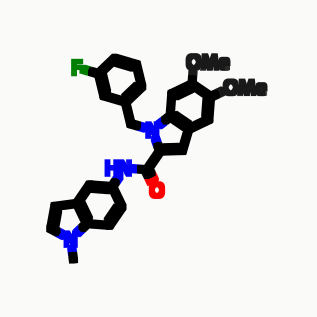 COc1cc2cc(C(=O)Nc3ccc4c(ccn4C)c3)n(Cc3cccc(F)c3)c2cc1OC